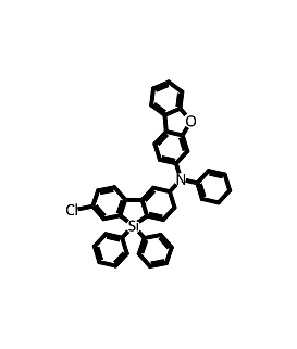 Clc1ccc2c(c1)[Si](c1ccccc1)(c1ccccc1)C1=CCC(N(C3=CCCC=C3)c3ccc4c(c3)oc3ccccc34)C=C12